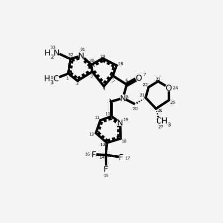 Cc1cc2cc(C(=O)N(Cc3ccc(C(F)(F)F)cn3)C[C@@H]3CCOC[C@@H]3C)ccc2nc1N